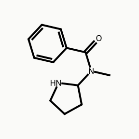 CN(C(=O)c1ccccc1)C1CCCN1